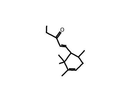 CCC(=O)C=CC1C(C)CC=C(C)C1(C)C